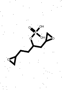 O=P(O)(O)OC(CCC1CO1)CC1CO1